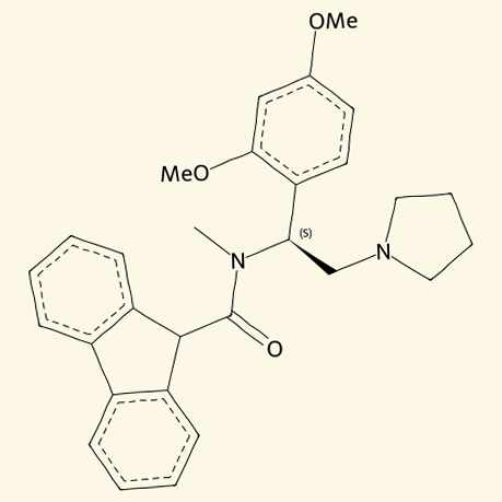 COc1ccc([C@@H](CN2CCCC2)N(C)C(=O)C2c3ccccc3-c3ccccc32)c(OC)c1